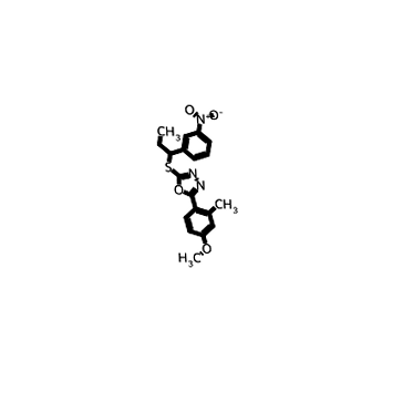 CCC(Sc1nnc(-c2ccc(OC)cc2C)o1)c1cccc([N+](=O)[O-])c1